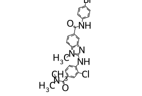 CN(C)C(=O)c1ccc(Nc2nc3cc(C(=O)Nc4ccc(Br)cc4)ccc3n2C)c(Cl)c1